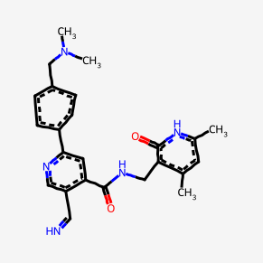 Cc1cc(C)c(CNC(=O)c2cc(-c3ccc(CN(C)C)cc3)ncc2C=N)c(=O)[nH]1